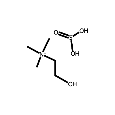 C[N+](C)(C)CCO.O=S(O)O